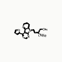 COC(CO)CCN1c2cccnc2C2C(c3ccco3)=NC=NC21